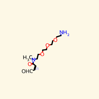 CN(CCOCCOCCOCCN)C(=O)/C=C\C=O